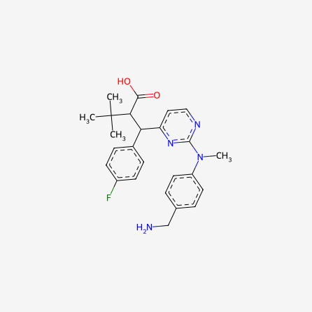 CN(c1ccc(CN)cc1)c1nccc(C(c2ccc(F)cc2)C(C(=O)O)C(C)(C)C)n1